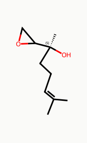 CC(C)=CCC[C@](C)(O)C1CO1